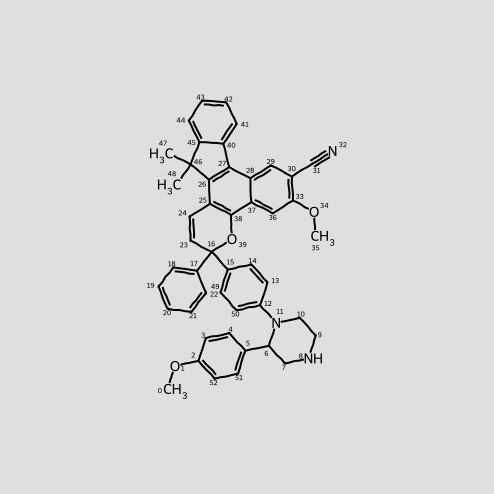 COc1ccc(C2CNCCN2c2ccc(C3(c4ccccc4)C=Cc4c5c(c6cc(C#N)c(OC)cc6c4O3)-c3ccccc3C5(C)C)cc2)cc1